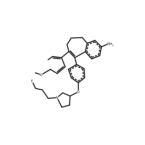 C/C=C(\C=C/COC)C1=C(c2ccc(OC3CCN(CCCF)C3)cc2)c2ccc(N)cc2CCC1